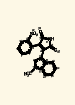 Cn1cc(C2=C(c3ccccc3[N+](=O)[O-])C(=O)NC2=O)c2ccccc21